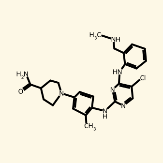 CNCc1ccccc1Nc1nc(Nc2ccc(N3CCC(C(N)=O)CC3)cc2C)ncc1Cl